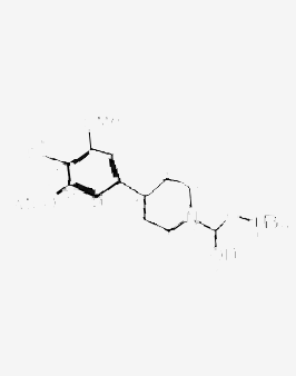 COc1cc(C2CCN(C(O)OC(C)(C)C)CC2)cc(OC)c1Cl